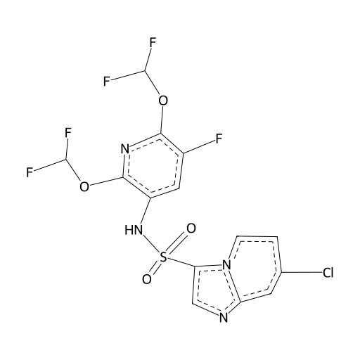 O=S(=O)(Nc1cc(F)c(OC(F)F)nc1OC(F)F)c1cnc2cc(Cl)ccn12